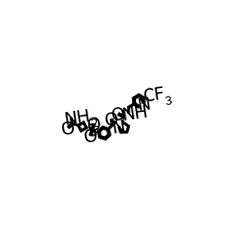 NC(=O)C1CC(S(=O)(=O)c2cccc(C(=O)N3CCC[C@@H]3C(=O)NCc3ccc(C(F)(F)F)nc3)c2)C1